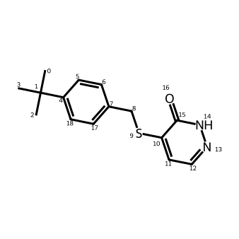 CC(C)(C)c1ccc(CSc2ccn[nH]c2=O)cc1